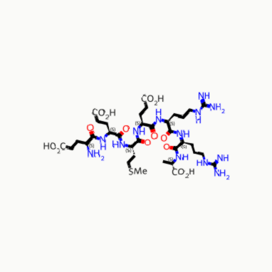 CSCC[C@H](NC(=O)[C@H](CCC(=O)O)NC(=O)[C@@H](N)CCC(=O)O)C(=O)N[C@@H](CCC(=O)O)C(=O)N[C@@H](CCCNC(=N)N)C(=O)N[C@@H](CCCNC(=N)N)C(=O)N[C@@H](C)C(=O)O